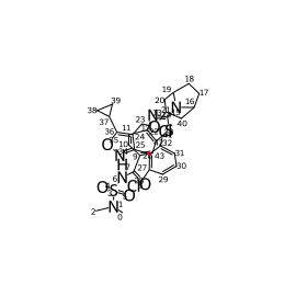 CN(C)S(=O)(=O)NC(=O)c1ccc2nc(N3C4CCC3CC(OCc3c(-c5c(Cl)cccc5Cl)noc3C3CC3)C4)sc2c1